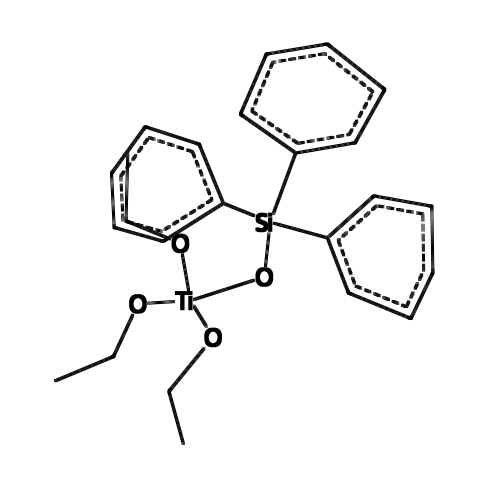 CC[O][Ti]([O]CC)([O]CC)[O][Si](c1ccccc1)(c1ccccc1)c1ccccc1